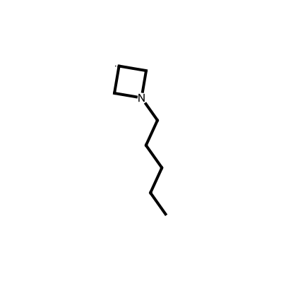 CCCCCN1C[CH]C1